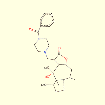 CC(=O)OC1CCC2C(C)CC3OC(=O)C(CN4CCN(C(=O)c5ccccc5)CC4)C3C(O)(OC(C)=O)C12C